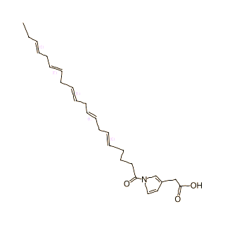 CC/C=C/C/C=C/C/C=C/C/C=C/C/C=C/CCCC(=O)n1ccc(CC(=O)O)c1